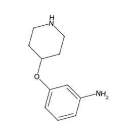 Nc1cccc(OC2CCNCC2)c1